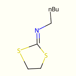 CCCCCN=C1SCCS1